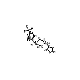 CN(c1ccc(C(F)(F)F)nn1)C1CCN(CC2CCCC2)CC1